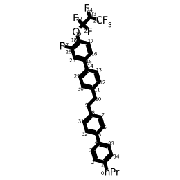 CCCc1ccc(-c2ccc(CCc3ccc(-c4ccc(OC(F)(F)C(F)C(F)(F)F)c(F)c4)cc3)cc2)cc1